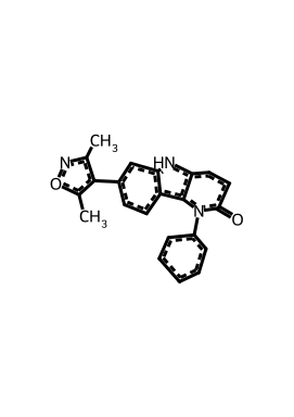 Cc1noc(C)c1-c1ccc2c(c1)[nH]c1ccc(=O)n(-c3ccccc3)c12